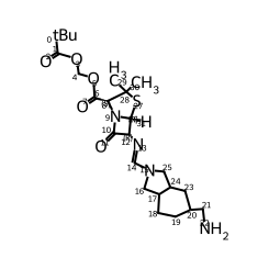 CC(C)(C)C(=O)OCOC(=O)[C@@H]1N2C(=O)[C@@H](N=CN3CC4CCC(CN)CC4C3)[C@H]2SC1(C)C